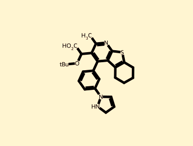 Cc1nc2sc3c(c2c(-c2cccc(N4C=CCN4)c2)c1C(OC(C)(C)C)C(=O)O)CCCC3